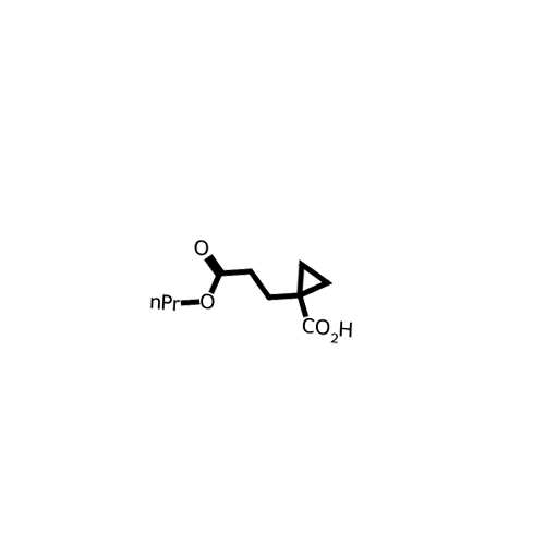 CCCOC(=O)CCC1(C(=O)O)CC1